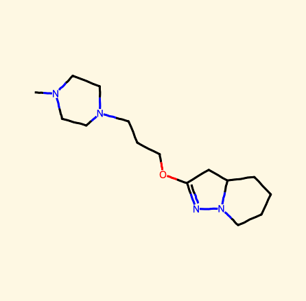 CN1CCN(CCCOC2=NN3CCCCC3C2)CC1